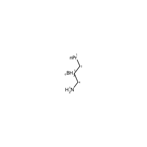 B.CCCCCCN